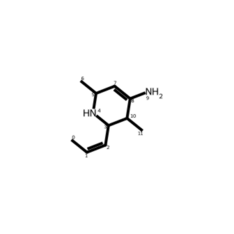 C/C=C\C1NC(C)C=C(N)C1C